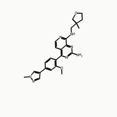 COc1cc(-c2cnn(C)c2)ccc1-c1nc(N)nc2c(NCC3(C)CCOC3)nccc12